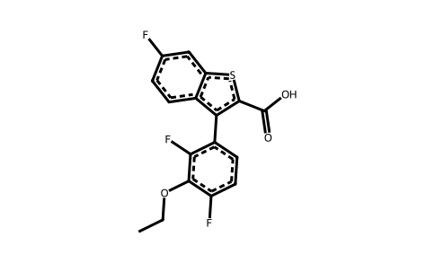 CCOc1c(F)ccc(-c2c(C(=O)O)sc3cc(F)ccc23)c1F